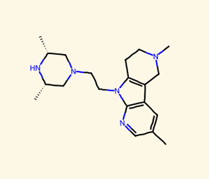 Cc1cnc2c(c1)c1c(n2CCN2C[C@@H](C)N[C@@H](C)C2)CCN(C)C1